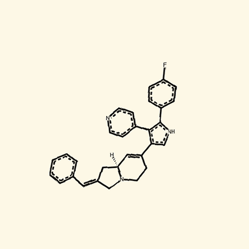 Fc1ccc(-c2[nH]cc(C3=C[C@@H]4CC(=Cc5ccccc5)CN4CC3)c2-c2ccncc2)cc1